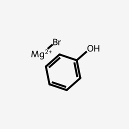 Oc1ccccc1.[Mg+2][Br]